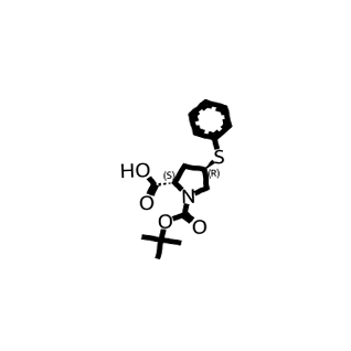 CC(C)(C)OC(=O)N1C[C@H](Sc2ccccc2)C[C@H]1C(=O)O